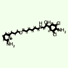 Nc1cccc(CCCOCCCCCCNCC(O)c2cc(Cl)c(N)c(Cl)c2)n1